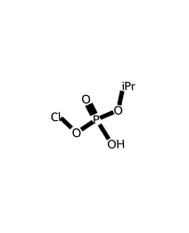 CC(C)OP(=O)(O)OCl